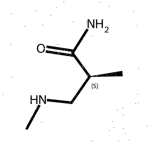 CNC[C@H](C)C(N)=O